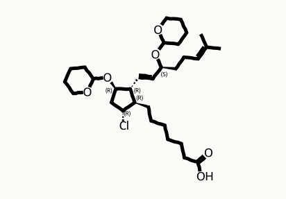 CC(C)=CCC[C@@H](C=C[C@@H]1[C@@H](CCCCCCC(=O)O)[C@H](Cl)C[C@H]1OC1CCCCO1)OC1CCCCO1